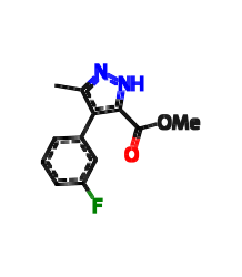 COC(=O)c1[nH]nc(C)c1-c1cccc(F)c1